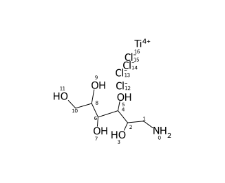 NCC(O)C(O)C(O)C(O)CO.[Cl-].[Cl-].[Cl-].[Cl-].[Ti+4]